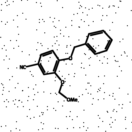 COCOc1cc(C#N)ccc1OCc1ccccc1